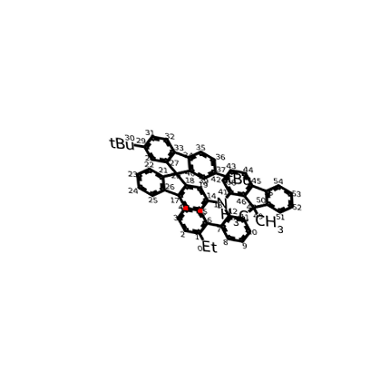 CCc1ccccc1-c1ccccc1N(c1ccc2c(c1)C1(c3ccccc3-2)c2cc(C(C)(C)C)ccc2-c2ccc(C(C)(C)C)cc21)c1cccc2c1C(C)(C)c1ccccc1-2